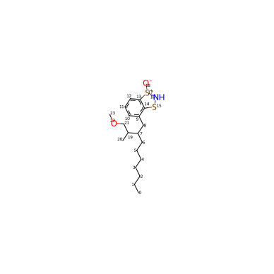 CCCCCCCC(Cc1cccc2c1SN[S+]2[O-])C(C)COC